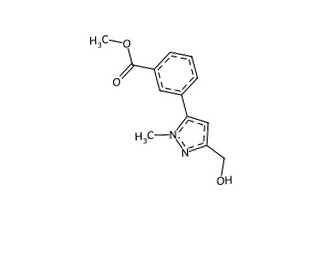 COC(=O)c1cccc(-c2cc(CO)nn2C)c1